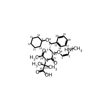 CN/C=C\ON(C[C@H](OC1CCCCC1)c1ccccc1)C(=O)N(C(C)=O)C(C)(C)C(=O)O